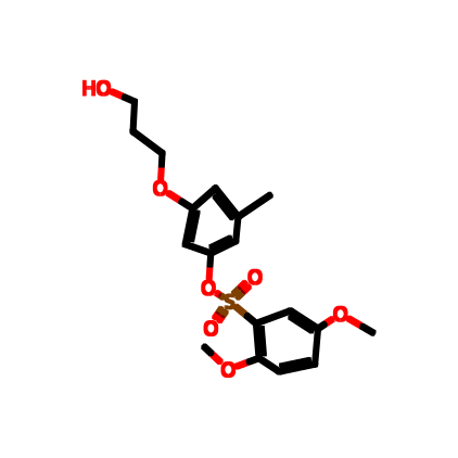 COc1ccc(OC)c(S(=O)(=O)Oc2cc(C)cc(OCCCO)c2)c1